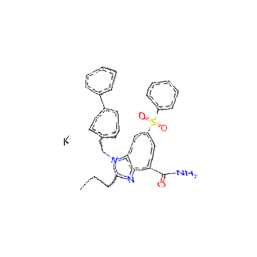 CCCc1nc2c(C(N)=O)cc(S(=O)(=O)c3ccccc3)cc2n1Cc1ccc(-c2ccccc2)cc1.[K]